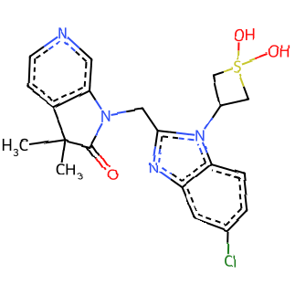 CC1(C)C(=O)N(Cc2nc3cc(Cl)ccc3n2C2CS(O)(O)C2)c2cnccc21